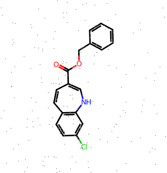 O=C(OCc1ccccc1)C1=CNc2cc(Cl)ccc2C=C1